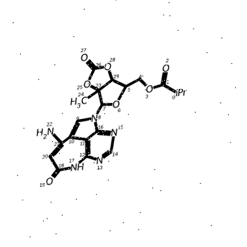 CC(C)C(=O)OCC1OC(n2cc3c4c(ncnc42)NC(=O)C=C3N)C2(C)OC(=O)OC12